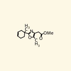 COC(=O)Cc1nc(C2(C)CC=CCC2)oc1C